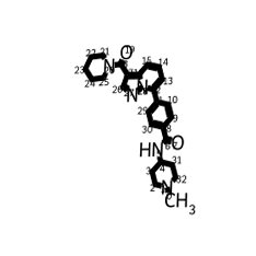 CN1CCC(NC(=O)c2ccc(-c3cccc4c(C(=O)N5CCCCC5)cnn34)cc2)CC1